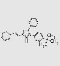 CC(C)(C)c1ccc(N2NC(C=Cc3ccccc3)=CC2c2ccccc2)cc1